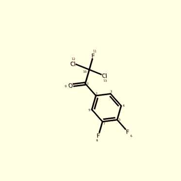 O=C(c1ccc(F)c(F)c1)C(F)(Cl)Cl